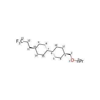 CCCOC[C@H]1CC[C@H]([C@H]2CC[C@H](CCC(F)(F)F)CC2)CC1